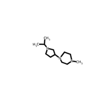 CC(C)N1CCC(N2CCN(C)CC2)C1